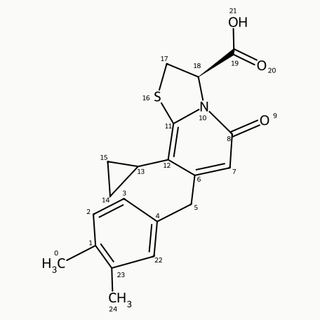 Cc1ccc(Cc2cc(=O)n3c(c2C2CC2)SC[C@H]3C(=O)O)cc1C